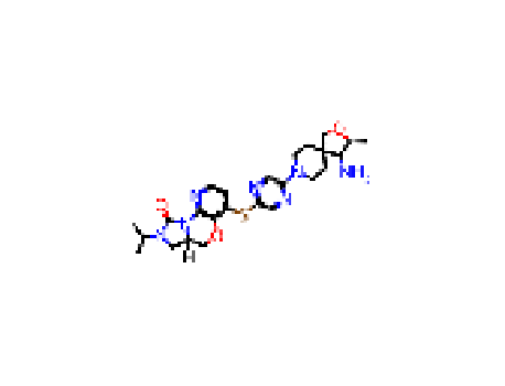 CC(C)N1C[C@H]2COc3c(Sc4cnc(N5CCC6(CC5)CO[C@@H](C)[C@H]6N)cn4)ccnc3N2C1=O